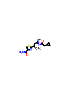 CC(=O)OC(CC(NC(=O)CC1CC1)C(C)C)c1nc(C(N)=O)cs1